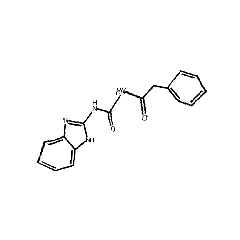 O=C(Cc1ccccc1)NC(=O)Nc1nc2ccccc2[nH]1